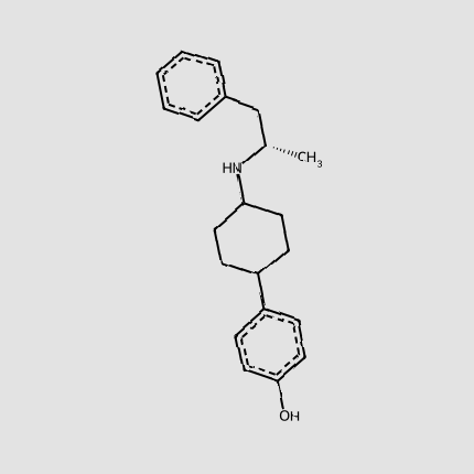 C[C@@H](Cc1ccccc1)NC1CCC(c2ccc(O)cc2)CC1